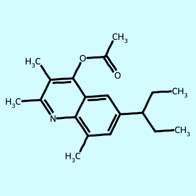 CCC(CC)c1cc(C)c2nc(C)c(C)c(OC(C)=O)c2c1